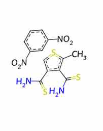 Cc1scc(C(N)=S)c1C(N)=S.O=[N+]([O-])c1cccc([N+](=O)[O-])c1